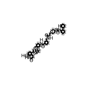 CC(C)(C)[Si](C)(C)OC(CNCc1ccc(NC(=O)c2cccc(CNC(=O)CCN3CCC(OC(=O)Nc4ccccc4-c4ccccc4)CC3)c2)cc1)c1ccc(O)c2[nH]c(=O)ccc12